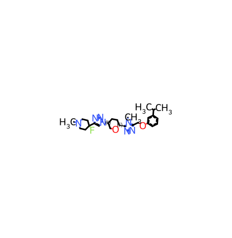 CC(C)c1cccc(OCc2nnc([C@@H]3CC[C@@H](n4cc(C5(F)CCN(C)CC5)nn4)CO3)n2C)c1